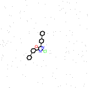 Clc1nc(-c2ccc(-c3ccccc3)cc2)c2oc3ccc(-c4ccccc4)cc3c2n1